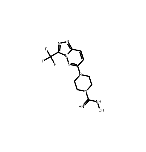 N=C(NO)N1CCN(c2ccc3nnc(C(F)(F)F)n3n2)CC1